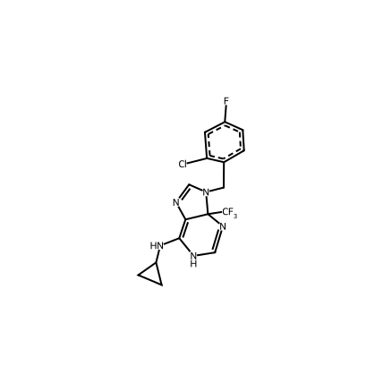 Fc1ccc(CN2C=NC3=C(NC4CC4)NC=NC32C(F)(F)F)c(Cl)c1